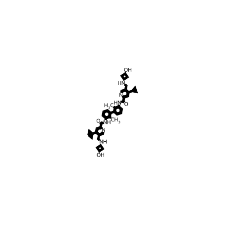 Cc1c(NC(=O)c2cc(C3CC3)c(CN[C@H]3C[C@@H](O)C3)cn2)cccc1-c1cccc(NC(=O)c2cc(C34CC3C4)c(CN[C@H]3C[C@@H](O)C3)cn2)c1C